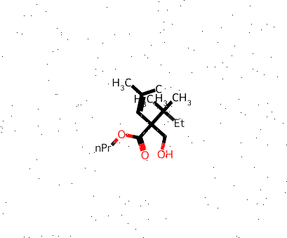 CCCOC(=O)C(C=C(C)C)(CO)C(C)(C)CC